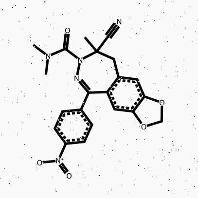 CN(C)C(=O)N1N=C(c2ccc([N+](=O)[O-])cc2)c2cc3c(cc2CC1(C)C#N)OCO3